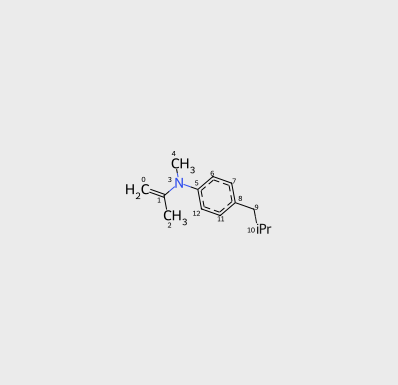 C=C(C)N(C)c1ccc(CC(C)C)cc1